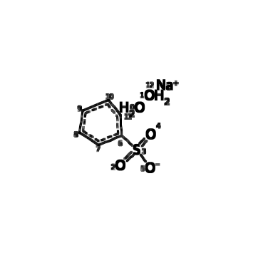 O.O.O=S(=O)([O-])c1ccccc1.[Na+]